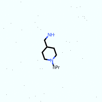 CCCN1CCC(C[NH])CC1